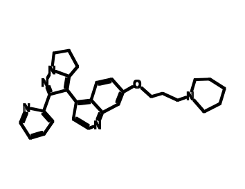 c1ccc(-c2nn3c(c2-c2ccnc4cc(OCCCN5CCCCC5)ccc24)CCC3)nc1